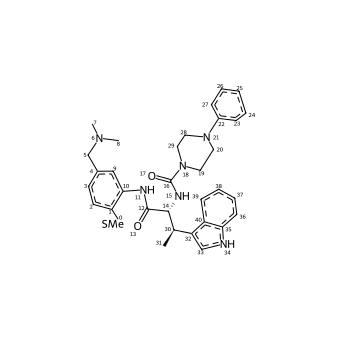 CSc1ccc(CN(C)C)cc1NC(=O)[C@H](NC(=O)N1CCN(c2ccccc2)CC1)[C@H](C)c1c[nH]c2ccccc12